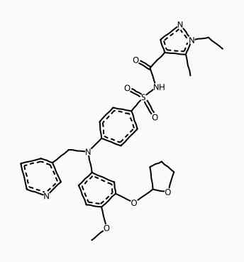 CCn1ncc(C(=O)NS(=O)(=O)c2ccc(N(Cc3cccnc3)c3ccc(OC)c(OC4CCCO4)c3)cc2)c1C